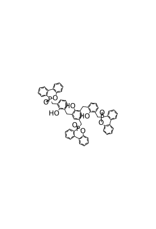 O=P1(Cc2cc(Cc3cccc(CP4(=O)Oc5ccccc5-c5ccccc54)c3O)c(O)c(Cc3cccc(CP4(=O)Oc5ccccc5-c5ccccc54)c3O)c2)Oc2ccccc2-c2ccccc21